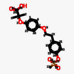 CC(C)(Oc1ccc(OCCc2ccc(OS(C)(=O)=O)cc2)cc1)C(=O)O